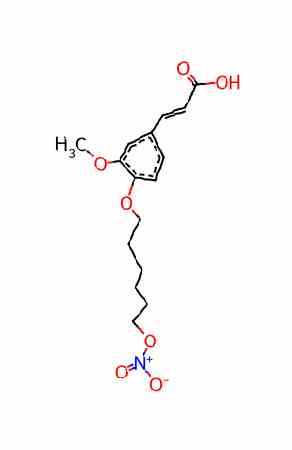 COc1cc(C=CC(=O)O)ccc1OCCCCCCO[N+](=O)[O-]